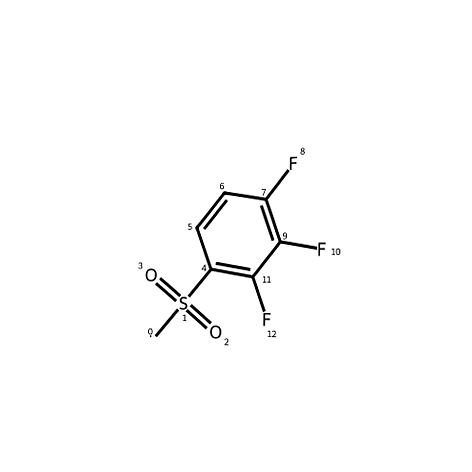 [CH2]S(=O)(=O)c1ccc(F)c(F)c1F